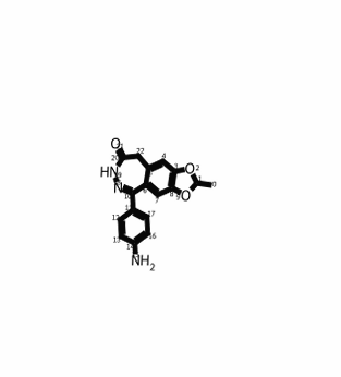 CC1Oc2cc3c(cc2O1)C(c1ccc(N)cc1)=NNC(=O)C3